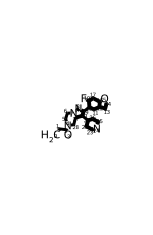 C=CC(=O)N1CCn2nc(-c3cc4ccoc4cc3F)c(-c3ccncc3)c2C1